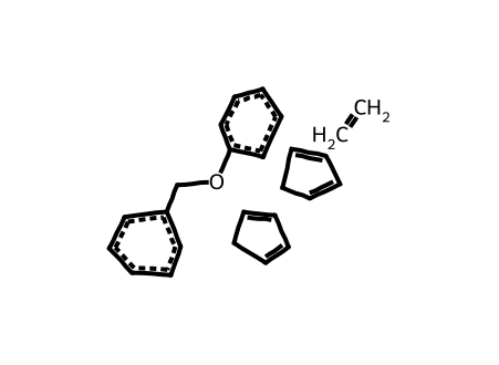 C1=CCC=C1.C1=CCC=C1.C=C.c1ccc(COc2ccccc2)cc1